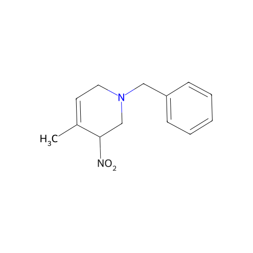 CC1=CCN(Cc2ccccc2)CC1[N+](=O)[O-]